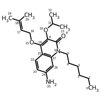 CCCCCCn1c(=O)c(OC(C)C)c(OCC=C(C)C)c2ccc(N)cc21